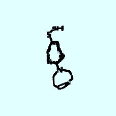 SSc1ccc(N2CCOCC2)nc1